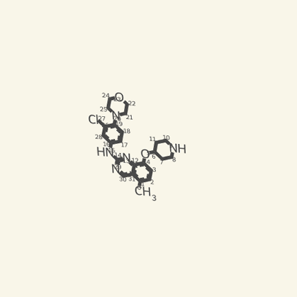 Cc1ccc(OC2CCNCC2)c2nc(Nc3ccc(N4CCOCC4)c(Cl)c3)ncc12